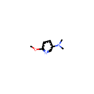 COc1ccc(N(C)C)cn1